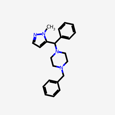 Cn1nccc1C(c1ccccc1)N1CCN(Cc2ccccc2)CC1